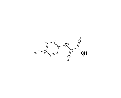 O=C(O)C(=O)Sc1ccc(F)cc1